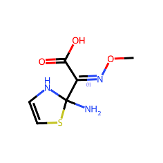 CO/N=C(\C(=O)O)C1(N)NC=CS1